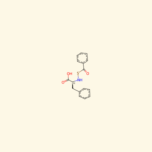 O=C(SN[C@@H](Cc1ccccc1)C(=O)O)c1ccccc1